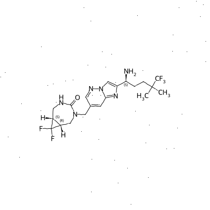 CC(C)(CC[C@H](N)c1cn2ncc(CN3C[C@H]4[C@@H](CNC3=O)C4(F)F)cc2n1)C(F)(F)F